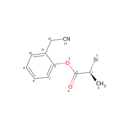 C[C@H](Br)C(=O)Oc1ccccc1CC#N